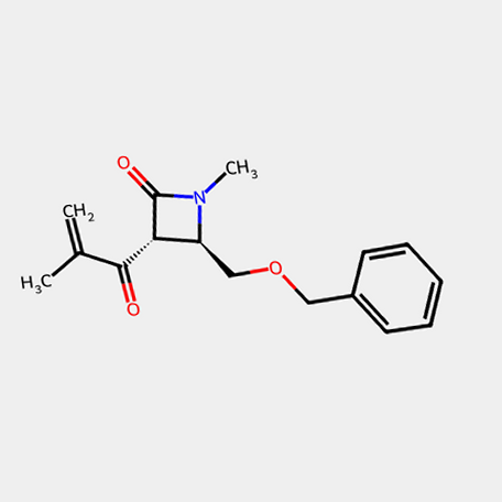 C=C(C)C(=O)[C@@H]1C(=O)N(C)[C@H]1COCc1ccccc1